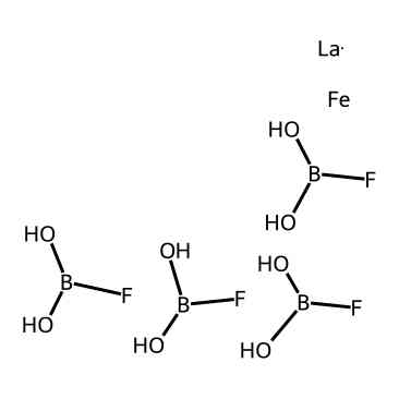 OB(O)F.OB(O)F.OB(O)F.OB(O)F.[Fe].[La]